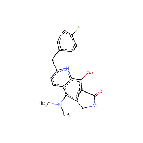 CN(C(=O)O)c1c2c(c(O)c3nc(Cc4ccc(F)cc4)ccc13)C(=O)NC2